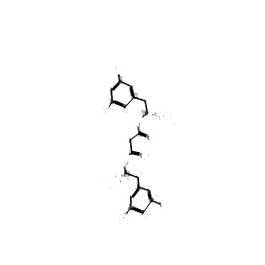 O=C(CC(=O)O[C@H](Cc1cc(F)cc(F)c1)[N+](=O)[O-])O[C@H](Cc1cc(F)cc(F)c1)[N+](=O)[O-]